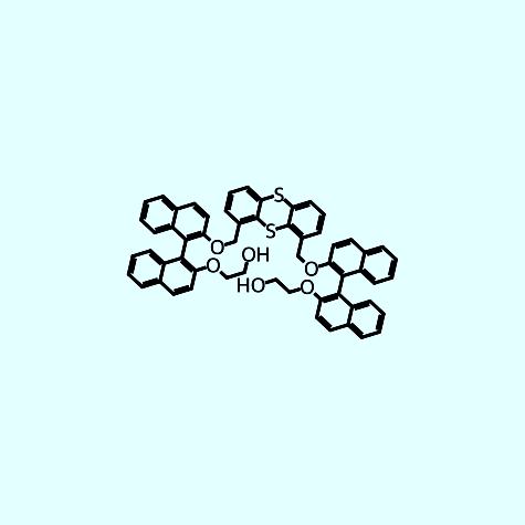 OCCOc1ccc2ccccc2c1-c1c(OCc2cccc3c2Sc2c(COc4ccc5ccccc5c4-c4c(OCCO)ccc5ccccc45)cccc2S3)ccc2ccccc12